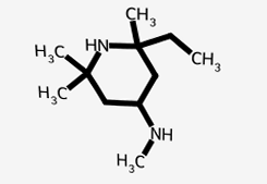 CCC1(C)CC(NC)CC(C)(C)N1